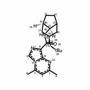 Cc1cc(C)n2cnc(C(=O)N[C@@H]3C4CC[C@@H]3C[C@H](OC(C)(C)C)C4)c2n1